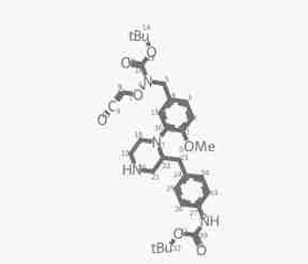 COc1ccc(CN(OC=C=O)C(=O)OC(C)(C)C)cc1N1CCNCC1Cc1ccc(NC(=O)OC(C)(C)C)cc1